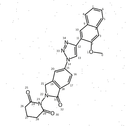 COc1cc2ccccc2cc1-c1cn(-c2ccc3c(c2)CN(N2C(=O)CCCC2=O)C3=O)nn1